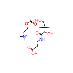 CC(=O)OCC[N+](C)(C)C.CC(C)(CO)C(O)C(=O)NCCC(=O)O